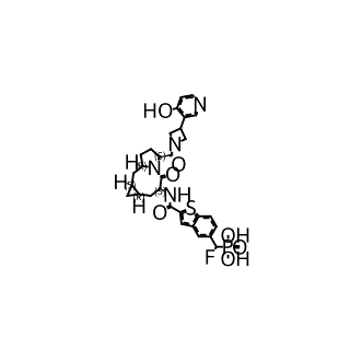 O=C(N[C@H]1C[C@H]2C[C@H]2C[C@H]2CC[C@@H](C(=O)N3CC(c4cnccc4O)C3)N2C1=O)c1cc2cc(C(F)P(=O)(O)O)ccc2s1